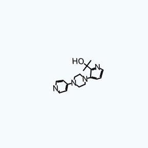 CC(C)(O)c1ncccc1N1CCN(c2ccncc2)CC1